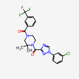 CC1(C)CN(C(=O)c2cccc(C(F)(F)F)c2)CCN1C(=O)c1ncn(-c2cccc(Cl)c2)n1